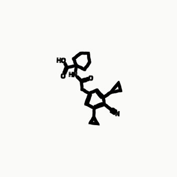 N#Cc1c(C2CC2)cc(CC(=O)NC2(C(=O)O)CCCCC2)cc1C1CC1